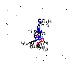 CCCC(CCO[Si](C)(C)C(C)(C)C)Oc1nc(N(Cc2ccc(OC)cc2)Cc2ccc(OC)cc2)c2ncc(Cc3cnc(N4CCC(CN(C)C(=O)O)CC4)c(C)c3)n2n1